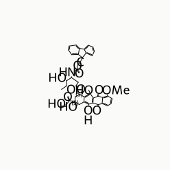 COc1cccc2c1C(=O)c1c(O)c3c(c(O)c1C2=O)C[C@@](O)(C(=O)CO)C[C@@H]3OC1CC(NC(=O)OCC2c3ccccc3-c3ccccc32)C(O)C(C)O1